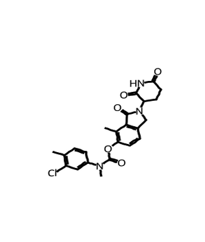 Cc1ccc(N(C)C(=O)Oc2ccc3c(c2C)C(=O)N(C2CCC(=O)NC2=O)C3)cc1Cl